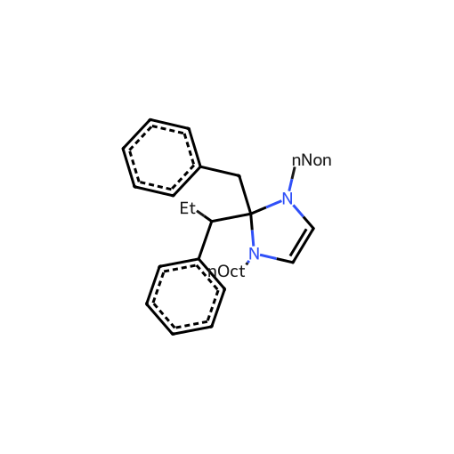 CCCCCCCCCN1C=CN(CCCCCCCC)C1(Cc1ccccc1)C(CC)c1ccccc1